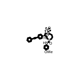 COc1ccc(NC(=O)N2CCCCN3[C@@H](C2)[C@@H](c2ccc(C#Cc4ccccc4)cc2)[C@@H]3CN(C)S(C)(=O)=O)cc1